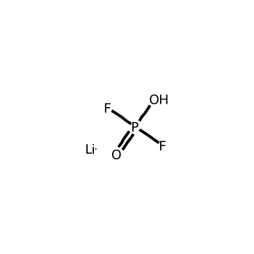 O=P(O)(F)F.[Li]